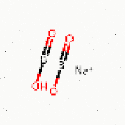 O=BO.O=B[O-].[Na+]